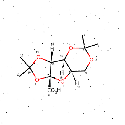 CC1(C)OC[C@H]2O[C@]3(C(=O)O)OC(C)(C)O[C@@H]3[C@H]2O1